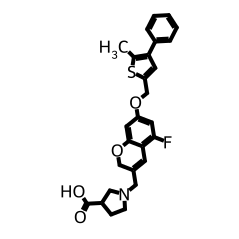 Cc1sc(COc2cc(F)c3c(c2)OCC(CN2CCC(C(=O)O)C2)=C3)cc1-c1ccccc1